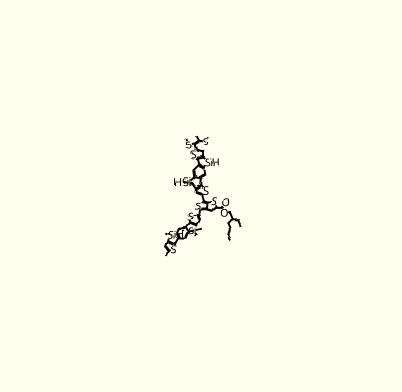 CCCCC(CC)COC(=O)c1cc2c(-c3cc4c(s3)-c3cc5c(cc3[Si]4(C)C)-c3sc(C)cc3[SiH]5C)sc(-c3cc4c(s3)-c3cc5c(cc3[SiH]4C)-c3sc(/C(SC)=C(/C)SC)cc3[SiH]5C)c2s1